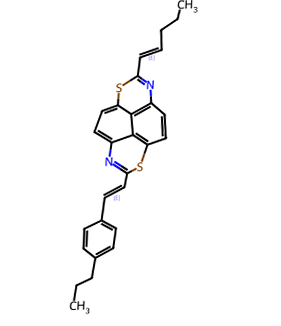 CCC/C=C/C1=Nc2ccc3c4c(ccc(c24)S1)N=C(/C=C/c1ccc(CCC)cc1)S3